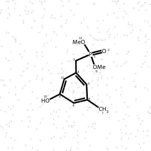 COP(=O)(Cc1cc(C)cc(O)c1)OC